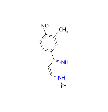 CCN/C=C\C(=N)c1ccc(N=O)c(C)c1